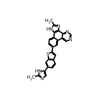 Cc1ncc(-c2ccc3cc(-c4ccc5c(c4)c4cncnc4c4nc(C)[nH]c54)sc3c2)[nH]1